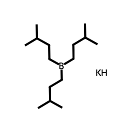 CC(C)CCB(CCC(C)C)CCC(C)C.[KH]